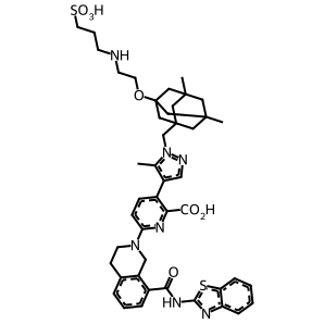 Cc1c(-c2ccc(N3CCc4cccc(C(=O)Nc5nc6ccccc6s5)c4C3)nc2C(=O)O)cnn1CC12CC3(C)CC(C)(C1)CC(OCCNCCCS(=O)(=O)O)(C3)C2